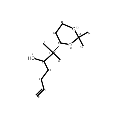 C=CCCC(O)C(C)(C)[C@@H]1CCOC(C)(C)O1